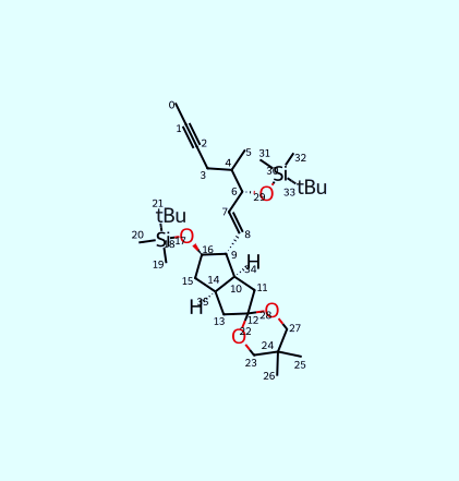 CC#CCC(C)[C@@H](/C=C/[C@@H]1[C@H]2CC3(C[C@H]2C[C@H]1O[Si](C)(C)C(C)(C)C)OCC(C)(C)CO3)O[Si](C)(C)C(C)(C)C